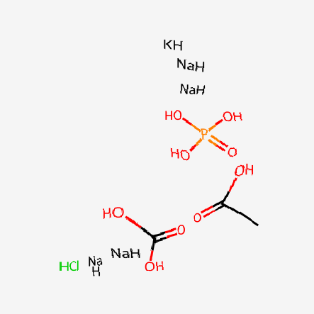 CC(=O)O.Cl.O=C(O)O.O=P(O)(O)O.[KH].[NaH].[NaH].[NaH].[NaH]